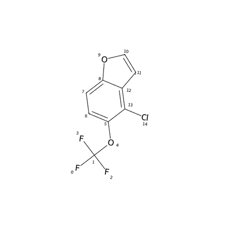 FC(F)(F)Oc1ccc2oc[c]c2c1Cl